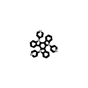 c1ccc2c(c1)c1c(c3c4ccccc4n(-c4ccncc4)c3c3c4ccccc4n(-c4ccncc4)c13)n2-c1ccncc1